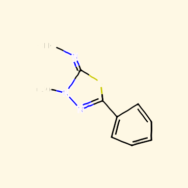 CCCCn1nc(-c2ccccc2)s/c1=N/C=O